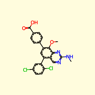 CNc1ncc2c(-c3cc(Cl)ccc3Cl)cc(-c3ccc(C(=O)O)cc3)c(OC)c2n1